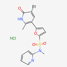 CCc1cc(-c2ccc(S(=O)(=O)N(C)c3ccccn3)o2)c(C)[nH]c1=O.Cl